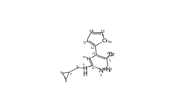 Brc1nnc(NCC2CC2)nc1-c1ccco1